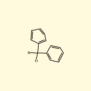 CC[C]([Bi])(c1ccccc1)c1ccccc1